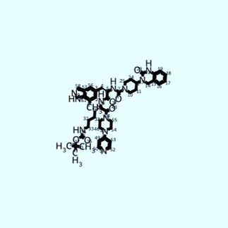 Cc1cc(C[C@@H](NC(=O)N2CCC(N3Cc4ccccc4NC3=O)CC2)C(=O)N[C@@H](CCCCNC(=O)OC(C)(C)C)C(=O)N2CCN(c3ccncc3)CC2)cc2cn[nH]c12